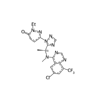 CCn1nc(-n2ncnc2[C@H](C)N(C)c2ncnc3c(C(F)(F)F)cc(Cl)cc23)ccc1=O